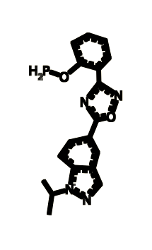 CC(C)n1ncc2cc(-c3nc(-c4ccccc4OP)no3)ccc21